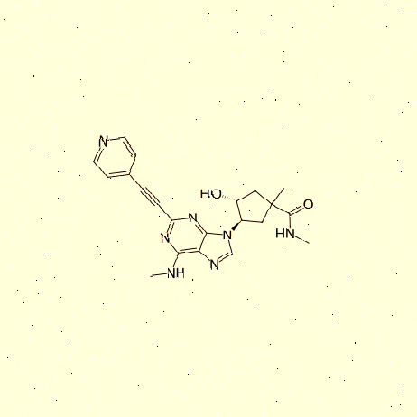 CNC(=O)C1(C)C[C@@H](O)[C@H](n2cnc3c(NC)nc(C#Cc4ccncc4)nc32)C1